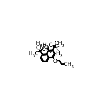 CCCOc1cc(C(C)(C)C)c(O)c2c(C(C)(C)C)cccc12